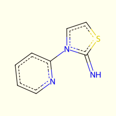 N=c1sccn1-c1ccccn1